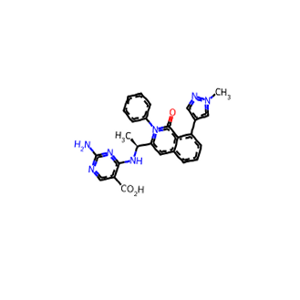 C[C@H](Nc1nc(N)ncc1C(=O)O)c1cc2cccc(-c3cnn(C)c3)c2c(=O)n1-c1ccccc1